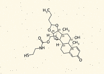 CCCC1O[C@@H]2CC3[C@@H]4CCC5=CC(=O)C=C[C@]5(C)C4[C@@H](O)C[C@]3(C)[C@]2(C(=O)COC(=O)NCCS)O1